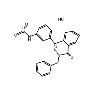 Cl.O=c1c2ccccc2c(-c2cccc(N[SH](=O)=O)c2)nn1Cc1ccccc1